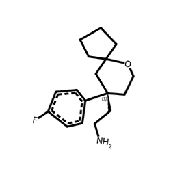 NCC[C@]1(c2ccc(F)cc2)CCOC2(CCCC2)C1